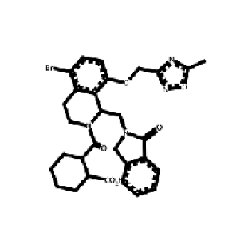 Cc1nc(COc2ccc(Br)c3c2C(CN2Cc4ccccc4C2=O)N(C(=O)C2CCCCC2C(=O)O)CC3)no1